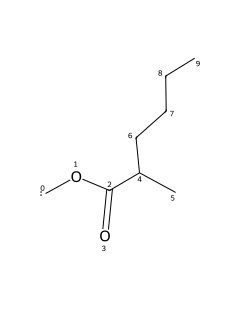 [CH]OC(=O)C(C)CCCC